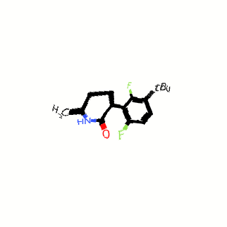 C=C1CCC(c2c(F)ccc(C(C)(C)C)c2F)C(=O)N1